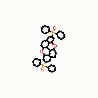 O=P(c1ccccc1)(c1ccccc1)c1cc2ccc3oc4cc(P(=O)(c5ccccc5)c5ccccc5)cc5ccc6oc(c1)c2c3-c6c54